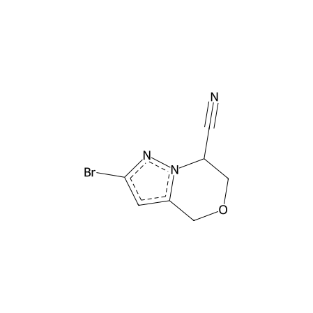 N#CC1COCc2cc(Br)nn21